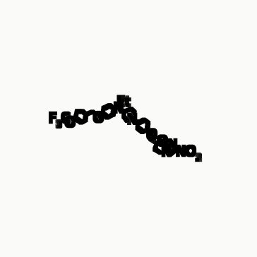 CCN(c1ccc(OCc2ccc(OC(F)(F)F)cc2)cc1)C1CCN(c2ccc(OC[C@@H]3CCn4cc([N+](=O)[O-])nc4O3)cc2)CC1